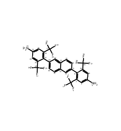 Nc1cc(C(F)(F)F)c(-c2ccc3cc(-c4c(C(F)(F)F)cc(N)cc4C(F)(F)F)ccc3c2)c(C(F)(F)F)c1